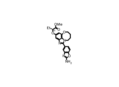 CC[C@H](Oc1cc2c3c(c1)nc(-c1ccc4oc(N)nc4c1)n3CCCCO2)C(=O)OC